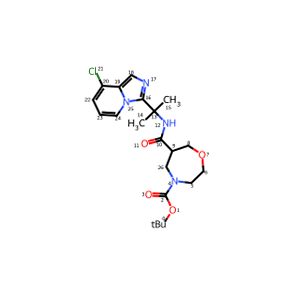 CC(C)(C)OC(=O)N1CCOCC(C(=O)NC(C)(C)c2ncc3c(Cl)cccn23)C1